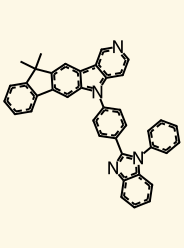 CC1(C)c2ccccc2-c2cc3c(cc21)c1cnccc1n3-c1ccc(-c2nc3ccccc3n2-c2ccccc2)cc1